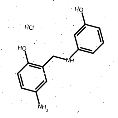 Cl.Nc1ccc(O)c(CNc2cccc(O)c2)c1